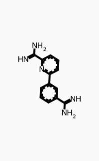 N=C(N)c1cccc(-c2cccc(C(=N)N)n2)c1